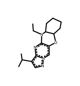 CCN1c2nc3c(C(C)C)cnn3cc2OC2CCCCC21